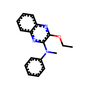 CCOc1nc2ccccc2nc1N(C)c1ccccc1